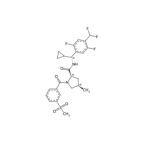 C[C@@H]1C[C@H](C(=O)N[C@@H](c2cc(F)c(C(F)F)cc2F)C2CC2)N(C(=O)c2cccc(S(C)(=O)=O)c2)C1